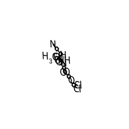 COC(=O)[C@@H](NC(=O)[C@@H]1Cc2cc3c(cc2CN1)OC(c1ccc(OCc2ccc(Cl)c(Cl)c2)cc1)CO3)c1cccc(-c2ccc(C#N)cc2)c1